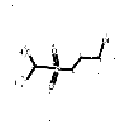 CC(C)S(=O)(=O)CC[CH]O